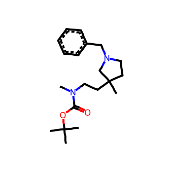 CN(CCC1(C)CCN(Cc2ccccc2)C1)C(=O)OC(C)(C)C